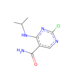 CC(C)Nc1nc(Cl)ncc1C(N)=O